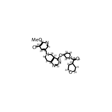 COc1ncc(N2CCc3ncnc(OC4CCN(C(=O)C5CCOCC5)C4)c3C2)cc1Cl